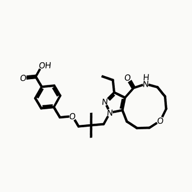 CCc1nn(CC(C)(C)COCc2ccc(C(=O)O)cc2)c2c1C(=O)NCCCOCCC2